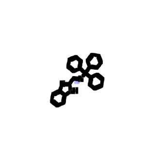 C(=N\C(c1ccccc1)(c1ccccc1)c1ccccc1)/c1nc2ccccc2[nH]1